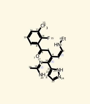 CCN\C=C/C(CC(=O)c1cccc(C(F)(F)F)c1F)=C(/N=C(/C)N)c1ccn[nH]1